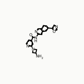 NC1CN(c2cc(C(=O)Nc3cc4cc(-c5cnco5)ccc4cn3)ccn2)C1